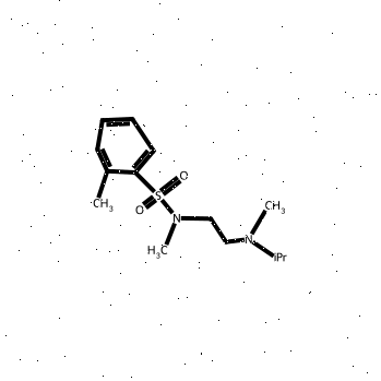 Cc1ccccc1S(=O)(=O)N(C)CCN(C)C(C)C